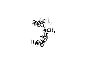 C[C@@H]1CNc2c(sc3ccc4nc(N5CC[C@@H](N(C)C6CCN(c7ccc8c(c7)n(C)c(=O)n8C7CCC(=O)NC7=O)CC6)C(F)(F)C5)ccc4c23)C(=O)N1